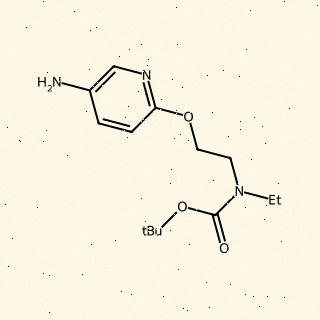 CCN(CCOc1ccc(N)cn1)C(=O)OC(C)(C)C